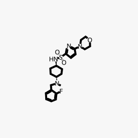 CN(Cc1ccccc1F)[C@H]1CC[C@H](NS(=O)(=O)c2ccc(N3CCOCC3)nc2)CC1